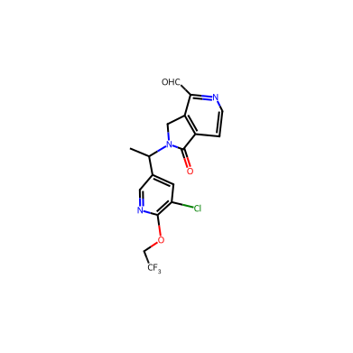 CC(c1cnc(OCC(F)(F)F)c(Cl)c1)N1Cc2c(ccnc2C=O)C1=O